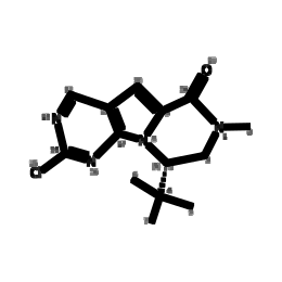 CN1C[C@H](C(C)(C)C)n2c(cc3cnc(Cl)nc32)C1=O